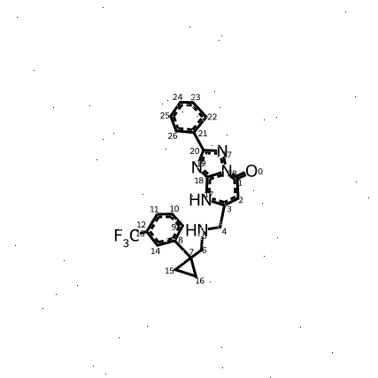 O=c1cc(CNCC2(c3cccc(C(F)(F)F)c3)CC2)[nH]c2nc(-c3ccccc3)nn12